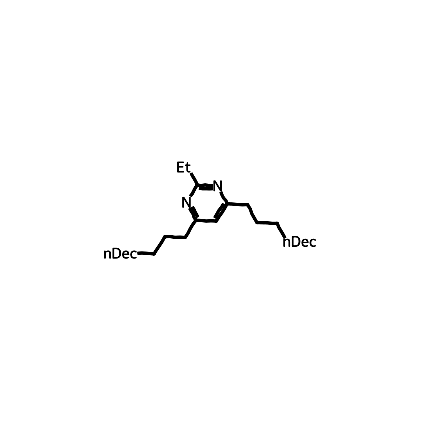 [CH2]Cc1nc(CCCCCCCCCCCCC)cc(CCCCCCCCCCCCC)n1